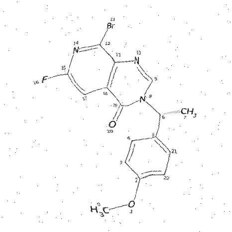 COc1ccc([C@@H](C)n2cnc3c(Br)nc(F)cc3c2=O)cc1